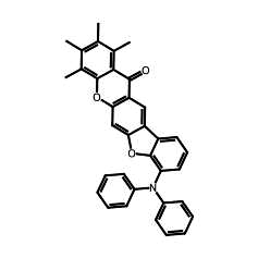 Cc1c(C)c(C)c2c(=O)c3cc4c(cc3oc2c1C)oc1c(N(c2ccccc2)c2ccccc2)cccc14